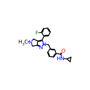 CN1Cc2nn(Cc3cccc(C(=O)NC4CC4)c3)c(-c3ccccc3F)c2C1